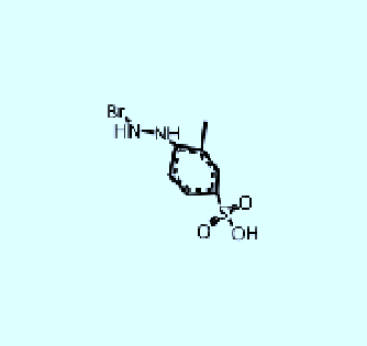 Cc1cc(S(=O)(=O)O)ccc1NNBr